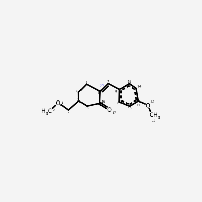 COCC1CC/C(=C/c2ccc(OC)cc2)C(=O)C1